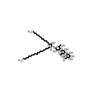 CCCCCCCCCCCCC/C=C/[C@@H](O)[C@H](CO[C@@H]1OC(CO)[C@@H](O[C@@H]2OC(CO)[C@@H](O)[C@H](O[C@H]3OC(CO)[C@@H](O)[C@H](O)C3O)C2O)[C@H](O)C1O)NC(=O)CCCCCCCCCCCCCCCCCCC